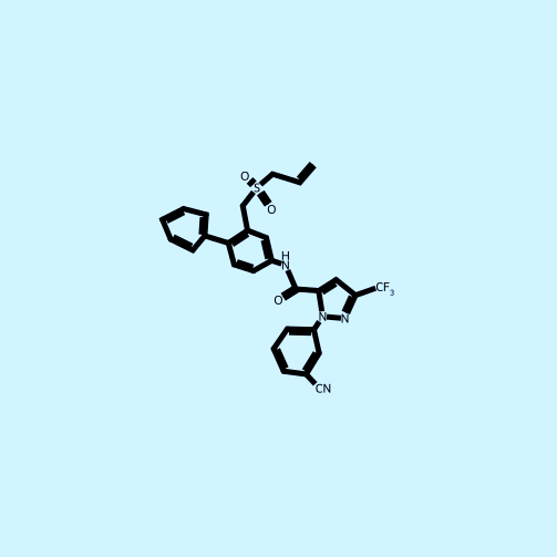 C=CCS(=O)(=O)Cc1cc(NC(=O)c2cc(C(F)(F)F)nn2-c2cccc(C#N)c2)ccc1-c1ccccc1